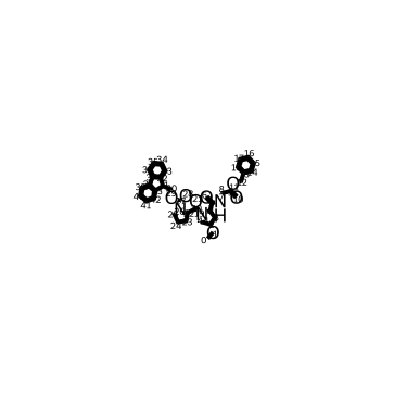 CO[C@@H]1CC(C(=O)NCC(=O)OCc2ccccc2)N(C(=O)C2CCCN2C(=O)OCC2c3ccccc3-c3ccccc32)C1